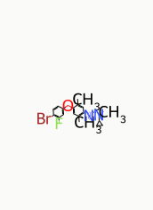 Cc1cc(Oc2ccc(Br)c(F)c2)c(C)cc1/N=C/N(C)C1CC1